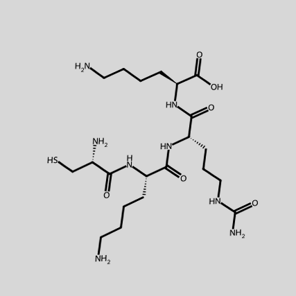 NCCCC[C@H](NC(=O)[C@H](CCCNC(N)=O)NC(=O)[C@H](CCCCN)NC(=O)[C@@H](N)CS)C(=O)O